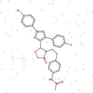 CC(=O)Nc1ccc(CCN2C(=O)COC2c2nn(-c3ccc(Br)cc3)cc2-c2ccc(F)cc2)cc1